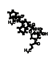 CCCC(=O)N1CC[C@H](NS(=O)(=O)c2ccc(NC(=O)c3ccccc3C)c3ccccc23)[C@H](C(=O)O)C1